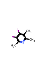 Cc1nc(C)c(I)c(I)c1C